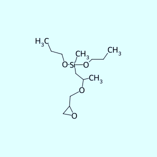 CCCO[Si](C)(CC(C)OCC1CO1)OCCC